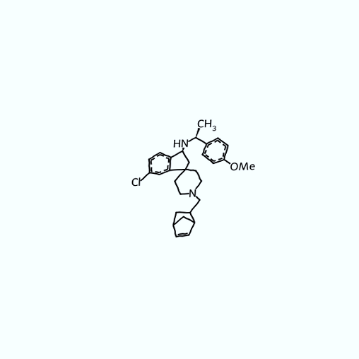 COc1ccc([C@H](C)N[C@H]2CC3(CCN(CC4CC5C=CC4C5)CC3)c3cc(Cl)ccc32)cc1